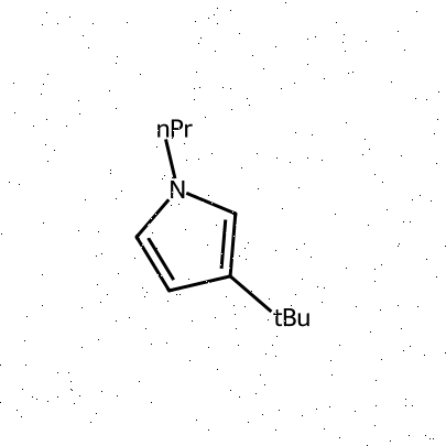 CCCn1ccc(C(C)(C)C)c1